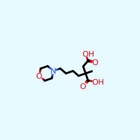 CC(CCCCN1CCOCC1)(CC(=O)O)C(=O)O